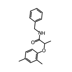 Cc1ccc(OC(C)C(=O)NCc2ccccc2)c(C)c1